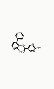 CC(C)c1ncc(C(=O)Nc2c(-c3ccccn3)ccnc2Cl)cn1